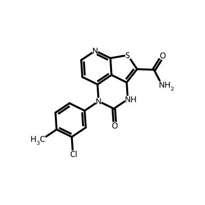 Cc1ccc(N2C(=O)Nc3c(C(N)=O)sc4nccc2c34)cc1Cl